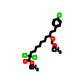 COCOC(CCCCCCCC(Cl)(Cl)C(=O)OC)CCc1ccc(Cl)cc1